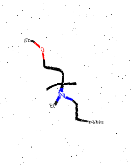 CCOCCC(C)(C)N(CC)CCNC